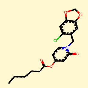 CCCCCC(=O)Oc1ccn(Cc2cc3c(cc2Cl)OCO3)c(=O)c1